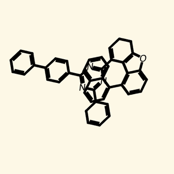 C1=CCC(c2nc(C3=CCCc4oc5cccc(-c6cccc7ccccc67)c5c43)nc(-c3ccc(-c4ccccc4)cc3)n2)C=C1